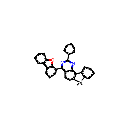 C[Si]1(C)c2ccccc2-c2c1ccc1c(-c3cccc4c3oc3ccccc34)nc(-c3ccccc3)nc21